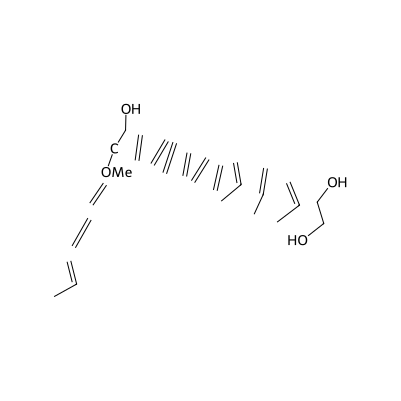 C=C.C=C.C=C.C=C.C=C.C=C.C=C.C=C.C=CC.C=CC.C=CC.C=CC.COCCO.OCCO